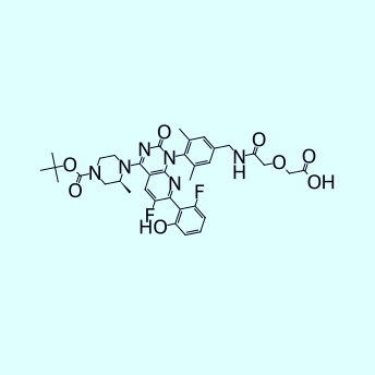 Cc1cc(CNC(=O)COCC(=O)O)cc(C)c1-n1c(=O)nc(N2CCN(C(=O)OC(C)(C)C)C[C@@H]2C)c2cc(F)c(-c3c(O)cccc3F)nc21